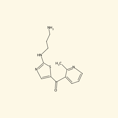 Cc1ncccc1C(=O)c1cnc(NCCCN)s1